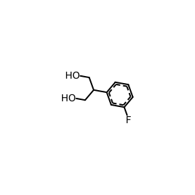 OCC(CO)c1cccc(F)c1